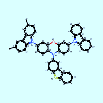 Cc1ccc2c(c1)c1cc(C)ccc1n2-c1ccc2c(c1)Oc1cc(-n3c4ccccc4c4ccccc43)ccc1N2c1ccc2sc3ccccc3c2c1